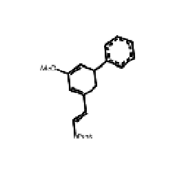 CCCCCC=CC1=CC(OC)=CC(c2ccccc2)C1